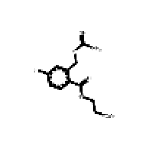 COCCNC(=O)c1ccc(Br)cc1CSC(=N)N